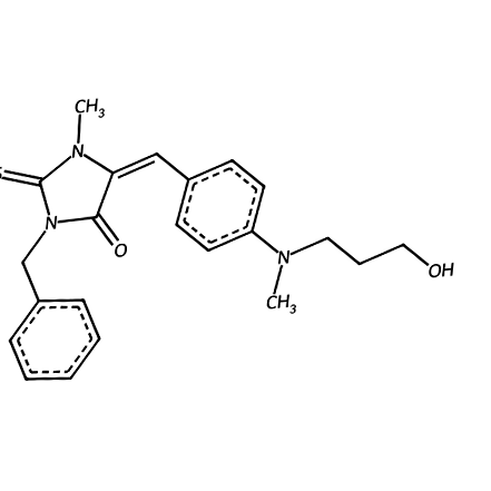 CN1C(=S)N(Cc2ccccc2)C(=O)C1=Cc1ccc(N(C)CCCO)cc1